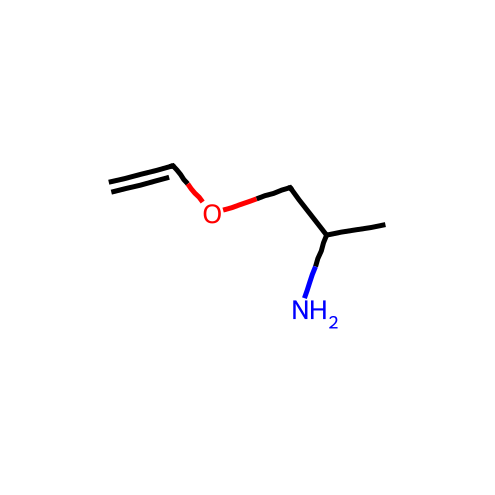 C=COCC(C)N